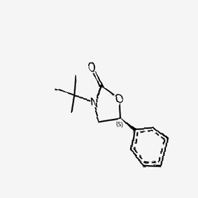 CC(C)(C)N1C[C@H](c2ccccc2)OC1=O